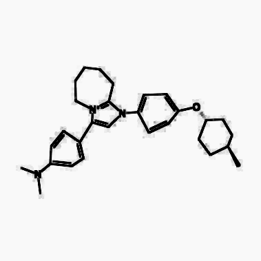 CN(C)c1ccc(-c2cn(-c3ccc(O[C@H]4CC[C@H](C)CC4)cc3)c3[n+]2CCCCC3)cc1